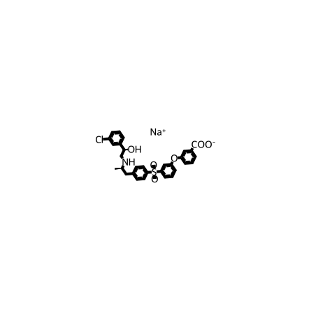 C[C@H](Cc1ccc(S(=O)(=O)c2cccc(Oc3cccc(C(=O)[O-])c3)c2)cc1)NC[C@H](O)c1cccc(Cl)c1.[Na+]